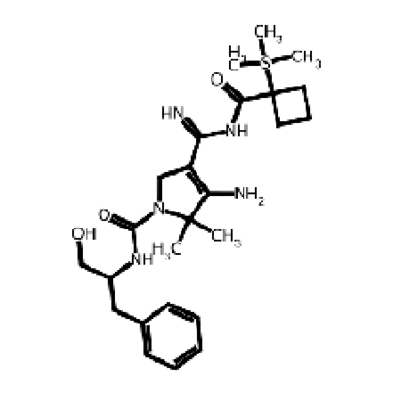 CC1(C)C(N)=C(C(=N)NC(=O)C2(S(C)(C)C)CCC2)CN1C(=O)NC(CO)Cc1ccccc1